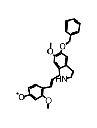 COc1ccc(/C=C/C2NCCc3cc(OCc4ccccc4)c(OC)cc32)c(OC)c1